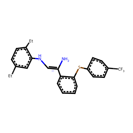 CCc1ccc(CC)c(N/C=C(\N)c2ccccc2Sc2ccc(C(F)(F)F)cc2)c1